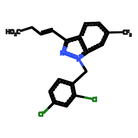 O=C(O)CC=Cc1nn(Cc2ccc(Cl)cc2Cl)c2cc(C(F)(F)F)ccc12